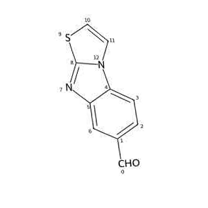 O=Cc1ccc2c(c1)nc1sccn12